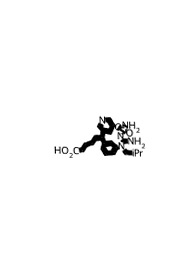 CC(C)CN(C(N)=NS(N)(=O)=O)c1cccc(/C(=C\CCCC(=O)O)c2cccnc2)c1